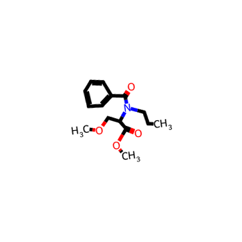 CCCN(C(=O)c1ccccc1)C(COC)C(=O)OC